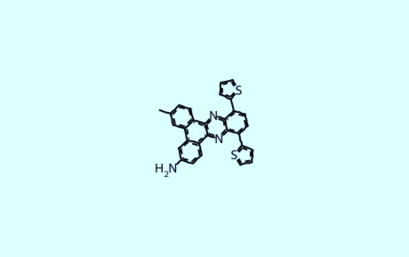 Cc1ccc2c(c1)c1cc(N)ccc1c1nc3c(-c4cccs4)ccc(-c4cccs4)c3nc21